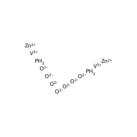 P.P.[O-2].[O-2].[O-2].[O-2].[O-2].[O-2].[O-2].[V+5].[V+5].[Zn+2].[Zn+2]